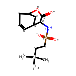 C[Si](C)(C)CCS(=O)(=O)NC1C(=O)OC2CC=CC1C2